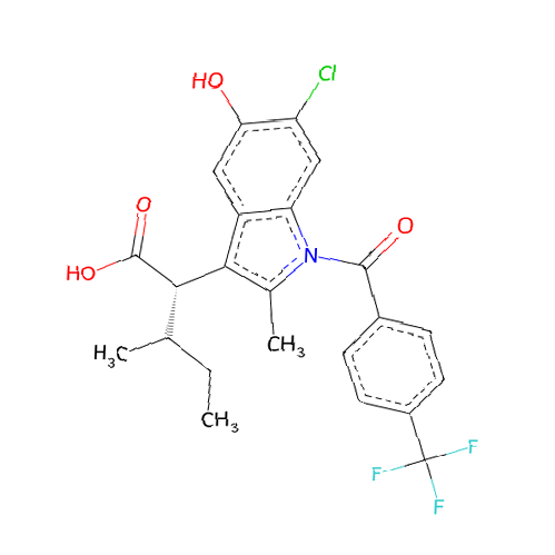 CCC(C)[C@H](C(=O)O)c1c(C)n(C(=O)c2ccc(C(F)(F)F)cc2)c2cc(Cl)c(O)cc12